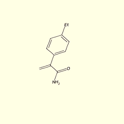 C=C(C(N)=O)c1ccc(CC)cc1